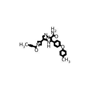 CC#CC(=O)N1CC(c2cnn3c(C(N)=O)c(-c4ccc(Oc5ccc(C)cc5)cc4)[nH]c23)C1